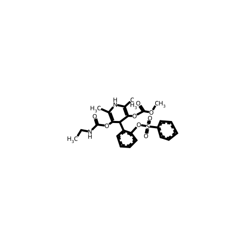 CCNC(=O)OC1=C(C)NC(C)=C(OC(=O)OC)C1c1ccccc1OS(=O)(=O)c1ccccc1